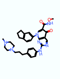 CONC(=O)c1cn(-c2ccc3c(c2)CCC3)c2nc(Nc3ccc(CCCN4CCN(C)CC4)cc3)ncc2c1=O